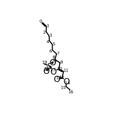 C=CCCCCCCCCC(=CC(=O)OCC)OS(C)(=O)=O